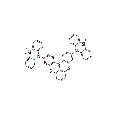 C[Si]1(C)c2ccccc2N(c2ccc3c(c2)Sc2cccc4c2[Si]3(c2ccccc2)c2ccc(N3c5ccccc5[Si](C)(C)c5ccccc53)cc2S4)c2ccccc21